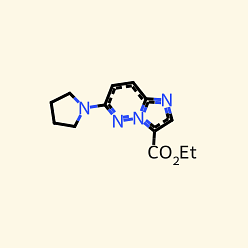 CCOC(=O)c1cnc2ccc(N3CCCC3)nn12